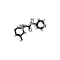 CC1=CCCN(NC(=O)Nc2ccncc2)C1